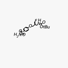 CC(C)(C)OC(=O)NCC(=CF)COc1ccc(S(N)(=O)=O)cc1